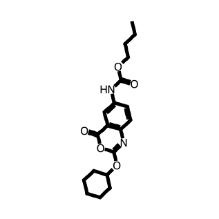 CCCCOC(=O)Nc1ccc2nc(OC3CCCCC3)oc(=O)c2c1